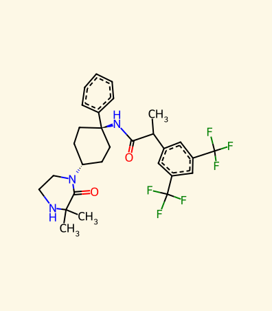 CC(C(=O)N[C@]1(c2ccccc2)CC[C@@H](N2CCNC(C)(C)C2=O)CC1)c1cc(C(F)(F)F)cc(C(F)(F)F)c1